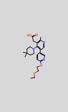 CCOCCOc1ccc(-c2cnc(C)c(CC(=O)O)c2N2CCC(C)(C)CC2)cn1